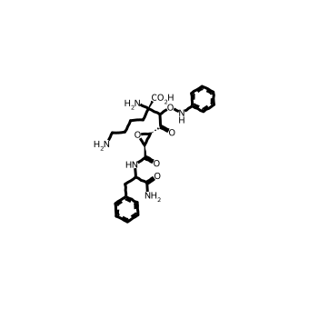 NCCCC[C@@](N)(C(=O)O)C(ONc1ccccc1)C(=O)[C@H]1O[C@@H]1C(=O)NC(Cc1ccccc1)C(N)=O